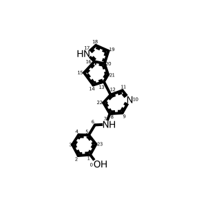 Oc1cccc(CNc2cncc(-c3ccc4[nH]ccc4c3)c2)c1